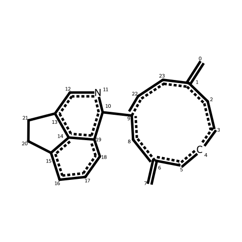 C=c1ccccc(=C)cc(-c2ncc3c4c(cccc24)CC3)cc1